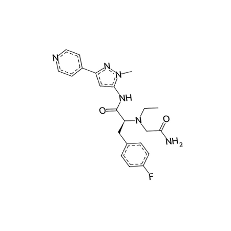 CCN(CC(N)=O)[C@@H](Cc1ccc(F)cc1)C(=O)Nc1cc(-c2ccncc2)nn1C